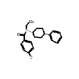 CC(C)(C)CN(C(=O)c1ccc(Cl)cc1)[C@H]1CC[C@H](c2ccccc2)CC1